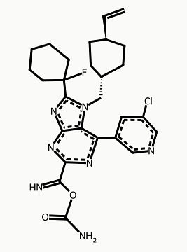 C=C[C@H]1CC[C@H](Cn2c(C3(F)CCCCC3)nc3nc(C(=N)OC(N)=O)nc(-c4cncc(Cl)c4)c32)CC1